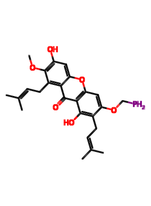 COc1c(O)cc2oc3cc(OCP)c(CC=C(C)C)c(O)c3c(=O)c2c1CC=C(C)C